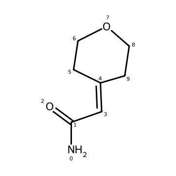 NC(=O)C=C1CCOCC1